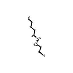 CCCCCSSCCC